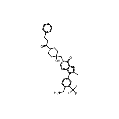 Cn1nc2c(=O)n(CC3(O)CCN(C(=O)CCc4ccccc4)CC3)cnc2c1-c1ccc(CN)c(C(F)(F)F)c1